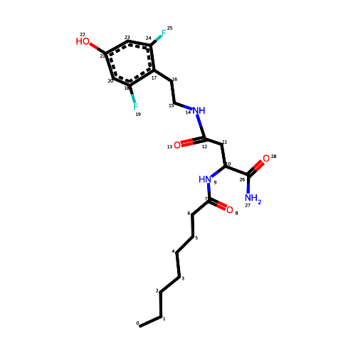 CCCCCCCC(=O)NC(CC(=O)NCCc1c(F)cc(O)cc1F)C(N)=O